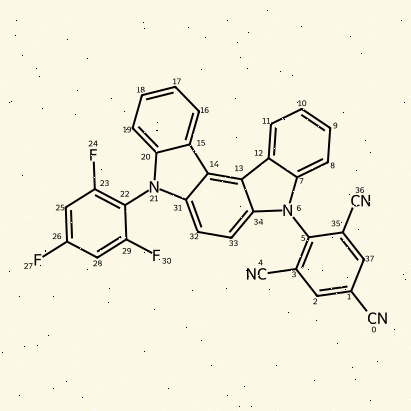 N#Cc1cc(C#N)c(-n2c3ccccc3c3c4c5ccccc5n(-c5c(F)cc(F)cc5F)c4ccc32)c(C#N)c1